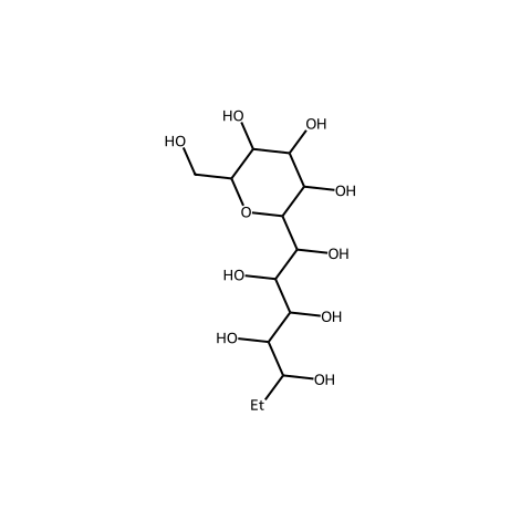 CCC(O)C(O)C(O)C(O)C(O)C1OC(CO)C(O)C(O)C1O